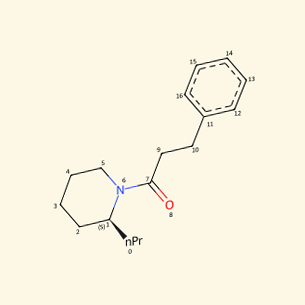 CCC[C@H]1CCCCN1C(=O)CCc1ccccc1